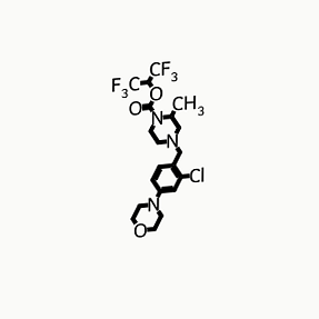 CC1CN(Cc2ccc(N3CCOCC3)cc2Cl)CCN1C(=O)OC(C(F)(F)F)C(F)(F)F